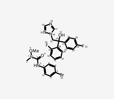 CON(C)C(=O)Nc1ccc(Br)cc1.OC(Cn1cncn1)(c1ccc(F)cc1)c1ccccc1F